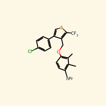 CCCc1ccc(OCc2c(-c3ccc(Cl)cc3)csc2C(F)(F)F)c(C)c1C